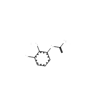 NC(=O)Nc1cccc(N)c1N